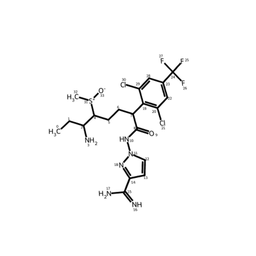 CCC(N)C(CCC(C(=O)Nn1ccc(C(=N)N)n1)c1c(Cl)cc(C(F)(F)F)cc1Cl)[S+](C)[O-]